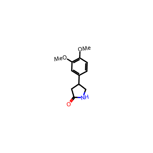 COc1ccc([C]2CNC(=O)C2)cc1OC